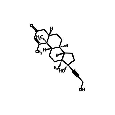 CC1=CC(=O)C[C@@H]2CC[C@@H]3[C@H](CC[C@@]4(C)[C@H]3CC[C@@]4(O)C#CCO)[C@@]12C